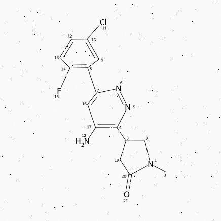 CN1CC(c2nnc(-c3cc(Cl)ccc3F)cc2N)CC1=O